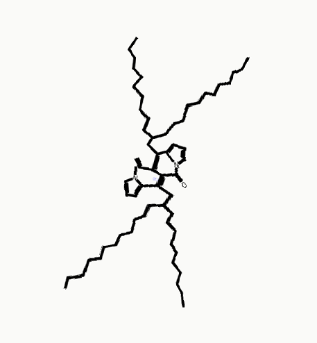 C=Cc1c(CC(CCCCCCCCCC)CCCCCCCCCCCC)c2cccn2c(=O)/c1=C(\CC(CCCCCCCCCC)CCCCCCCCCCCC)c1cccn1C